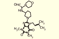 CC(C)=CCn1c(N2CCCC(NC(C=O)N3CCOCC3)C2)nc2c1c(=O)n(C)c(=O)n2C